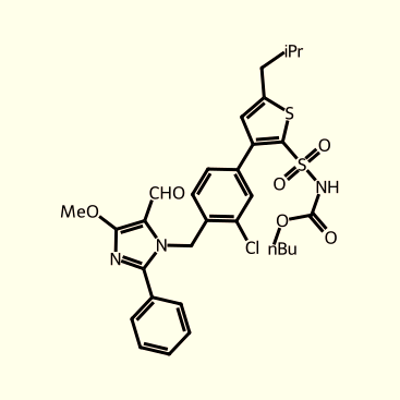 CCCCOC(=O)NS(=O)(=O)c1sc(CC(C)C)cc1-c1ccc(Cn2c(-c3ccccc3)nc(OC)c2C=O)c(Cl)c1